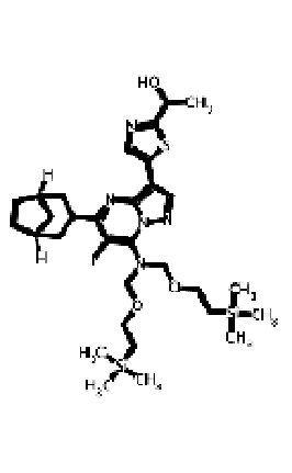 CC(O)c1ncc(-c2cnn3c(N(COCC[Si](C)(C)C)COCC[Si](C)(C)C)c(I)c([C@H]4C[C@@H]5CC[C@@H](C5)C4)nc23)s1